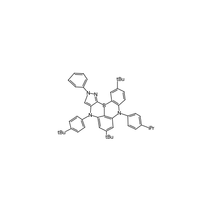 CC(C)c1ccc(N2c3ccc(C(C)(C)C)cc3B3c4nn(-c5ccccc5)cc4N(c4ccc(C(C)(C)C)cc4)c4cc(C(C)(C)C)cc2c43)cc1